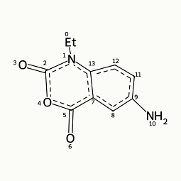 CCn1c(=O)oc(=O)c2cc(N)ccc21